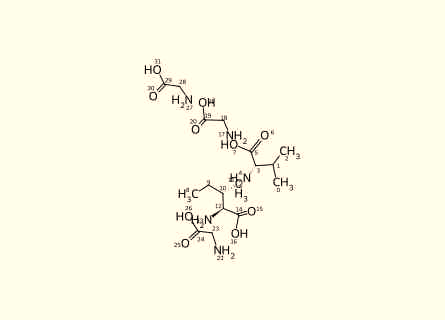 CC(C)[C@H](N)C(=O)O.CC[C@H](C)[C@H](N)C(=O)O.NCC(=O)O.NCC(=O)O.NCC(=O)O